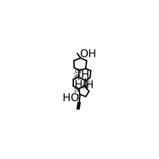 C#CC1(O)CC[C@H]2[C@@H]3CCC4CC(C)(O)CC[C@]4(C)[C@@H]3CC[C@@]21C